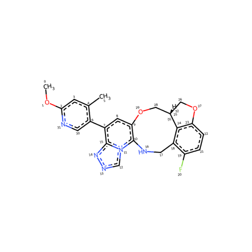 COc1cc(C)c(-c2cc3c(n4cnnc24)NCc2c(F)ccc4c2[C@@H](CO4)CO3)cn1